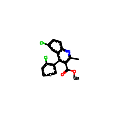 Cc1nc2ccc(Cl)cc2c(-c2ccccc2Cl)c1C(=O)OC(C)(C)C